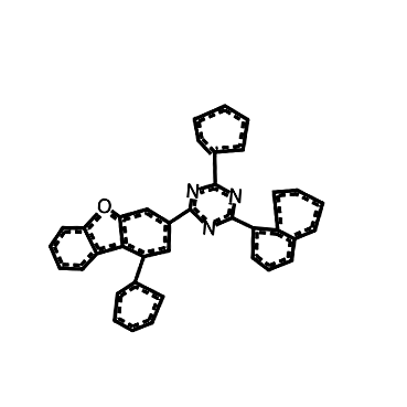 c1ccc(-c2nc(-c3cc(-c4ccccc4)c4c(c3)oc3ccccc34)nc(-c3cccc4ccccc34)n2)cc1